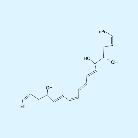 CC/C=C\CC(O)/C=C/C=C\C=C\C=C\C(O)[C@@H](O)C/C=C\CCC